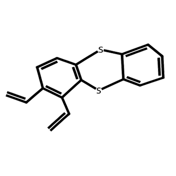 C=Cc1ccc2c(c1C=C)Sc1ccccc1S2